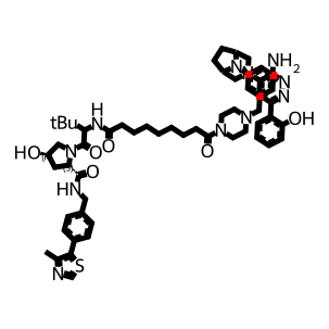 Cc1ncsc1-c1ccc(CNC(=O)[C@@H]2C[C@@H](O)CN2C(=O)C(NC(=O)CCCCCCCC(=O)N2CCN(Cc3cccc(N4C5CCC4CN(c4cc(-c6ccccc6O)nnc4N)C5)c3)CC2)C(C)(C)C)cc1